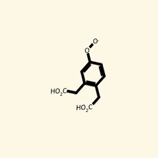 [O]Oc1ccc(CC(=O)O)c(CC(=O)O)c1